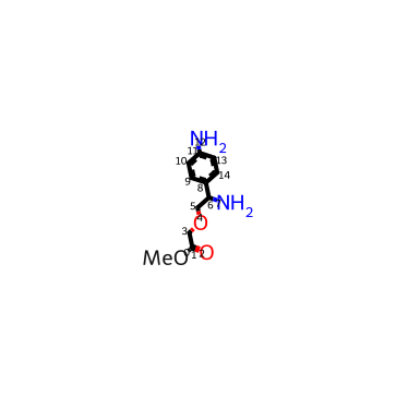 COC(=O)COCC(N)c1ccc(N)cc1